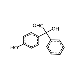 O=CC(O)(c1ccccc1)c1ccc(O)cc1